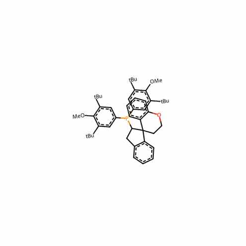 COc1c(C(C)(C)C)cc(P(c2cc(C(C)(C)C)c(OC)c(C(C)(C)C)c2)C2Cc3ccccc3C23CCOc2ccccc23)cc1C(C)(C)C